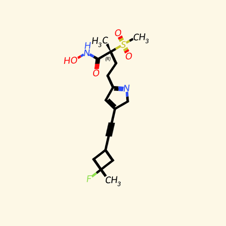 CC1(F)CC(C#CC2=CC(CC[C@](C)(C(=O)NO)S(C)(=O)=O)=NC2)C1